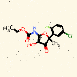 CCOC(=O)NC1=C(O)C(=O)C(C)(c2cc(Cl)ccc2F)O1